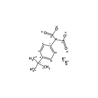 CC(C)(C)c1ccc(C(C(=O)[O-])C(=O)[O-])cc1.[K+].[K+]